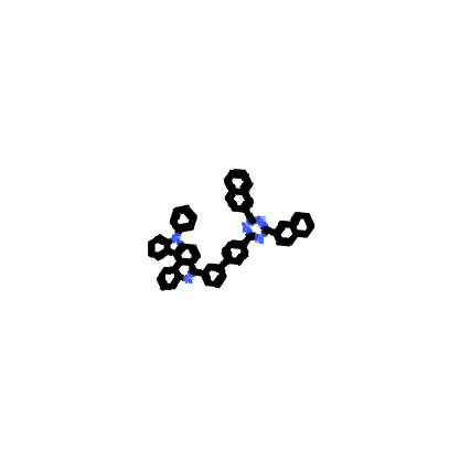 c1ccc(-n2c3ccccc3c3c4c(ccc32)c(-c2cccc(-c3ccc(-c5nc(-c6ccc7ccccc7c6)nc(-c6ccc7ccccc7c6)n5)cc3)c2)nc2ccccc24)cc1